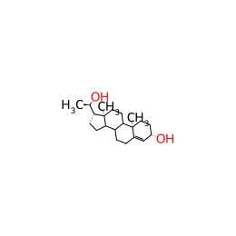 C[C@@H](O)[C@H]1CCC2C3CCC4=C[C@@H](O)CC[C@]4(C)C3CC[C@@]21C